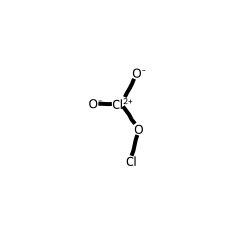 [O-][Cl+2]([O-])OCl